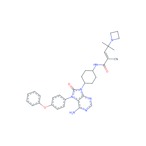 CC(C)(C=C(C#N)C(=O)NC1CCC(n2c(=O)n(-c3ccc(Oc4ccccc4)cc3)c3c(N)ncnc32)CC1)N1CCC1